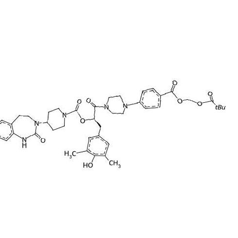 Cc1cc(C[C@@H](OC(=O)N2CCC(N3CCc4ccccc4NC3=O)CC2)C(=O)N2CCN(c3ccc(C(=O)OCOC(=O)C(C)(C)C)cc3)CC2)cc(C)c1O